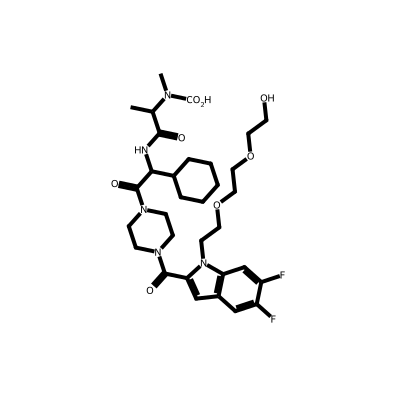 CC(C(=O)NC(C(=O)N1CCN(C(=O)c2cc3cc(F)c(F)cc3n2CCOCCOCCO)CC1)C1CCCCC1)N(C)C(=O)O